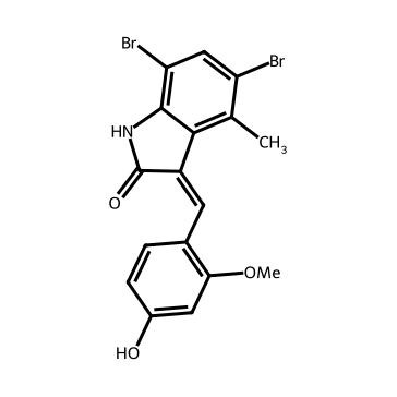 COc1cc(O)ccc1C=C1C(=O)Nc2c(Br)cc(Br)c(C)c21